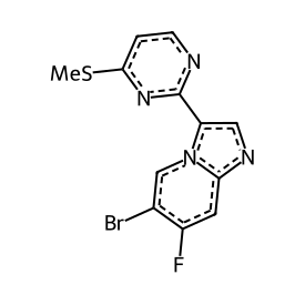 CSc1ccnc(-c2cnc3cc(F)c(Br)cn23)n1